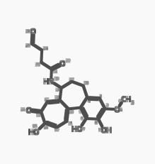 COc1cc2c(c(O)c1O)-c1ccc(O)c(=O)cc1C(NC(=O)CCC=O)CC2